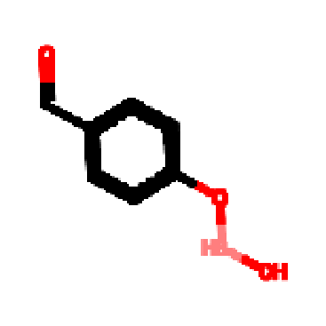 O=Cc1ccc(OBO)cc1